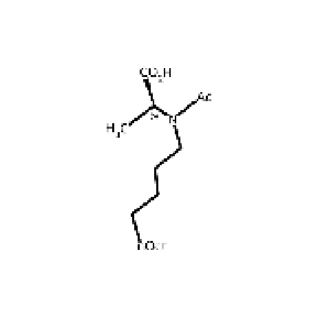 CCCCCCCCCCCCN(C(C)=O)[C@@H](C)C(=O)O